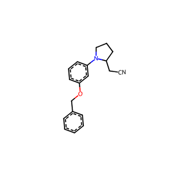 N#CCC1CCCN1c1cccc(OCc2ccccc2)c1